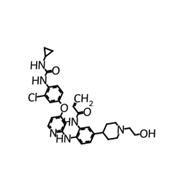 C=CC(=O)Nc1cc(C2CCN(CCO)CC2)ccc1Nc1cc(Oc2ccc(NC(=O)NC3CC3)c(Cl)c2)ccn1